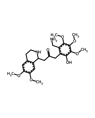 COc1cc2c(cc1OC)C(CC(=O)Cc1c(O)c(OC)c(OC)c(OC)c1CN)NCC2